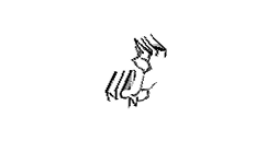 Cc1ccnc(C#N)c1-c1ccc2c[nH]cc2c1